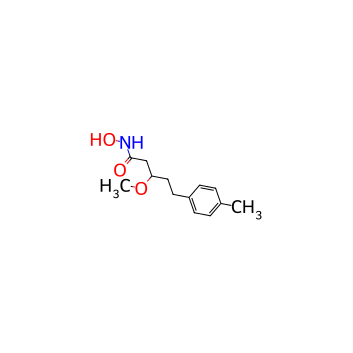 COC(CCc1ccc(C)cc1)CC(=O)NO